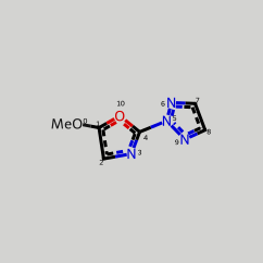 COc1cnc(-n2nccn2)o1